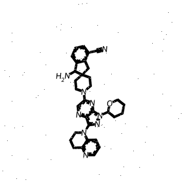 N#Cc1cccc2c1CC1(CCN(c3cnc4c(N5CCCc6ncccc65)nn(C5CCCCO5)c4n3)CC1)C2N